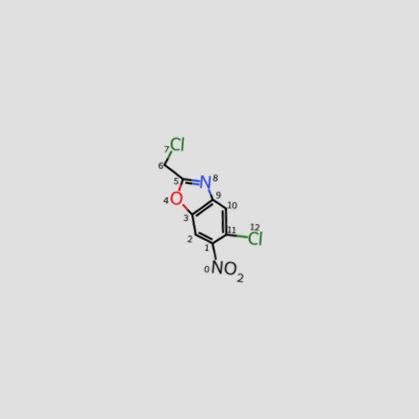 O=[N+]([O-])c1cc2oc(CCl)nc2cc1Cl